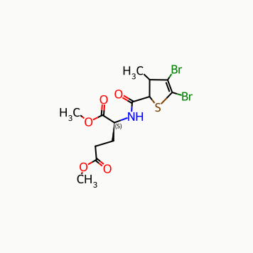 COC(=O)CC[C@H](NC(=O)C1SC(Br)=C(Br)C1C)C(=O)OC